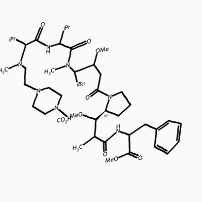 CCC(C)C(C(CC(=O)N1CCC[C@H]1C(OC)C(C)C(=O)NC(Cc1ccccc1)C(=O)OC)OC)N(C)C(=O)C(NC(=O)C(C(C)C)N(C)CCN1CCN(C(=O)O)CC1)C(C)C